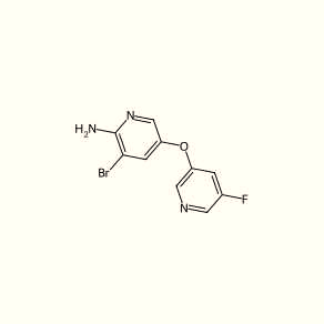 Nc1ncc(Oc2cncc(F)c2)cc1Br